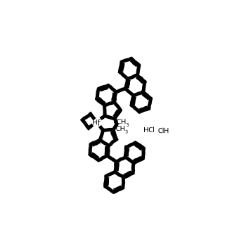 CC1=Cc2c(-c3c4ccccc4cc4ccccc34)cccc2[CH]1[Hf]1([CH]2C(C)=Cc3c(-c4c5ccccc5cc5ccccc45)cccc32)[CH2]C[CH2]1.Cl.Cl